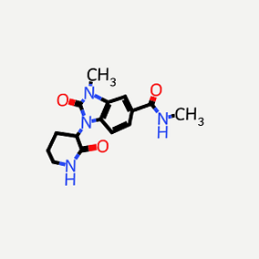 CNC(=O)c1ccc2c(c1)n(C)c(=O)n2C1CCCNC1=O